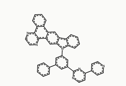 c1ccc(-c2cc(-c3nccc(-c4ccncc4)n3)cc(-n3c4ccccc4c4cc5c6ccccc6c6nccnc6c5cc43)c2)cc1